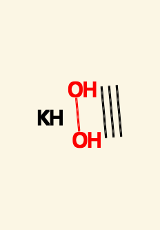 C#C.OO.[KH]